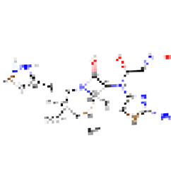 Nc1nc(N(C(=O)C=NO)C2C(=O)N3CC(C=Cc4csnn4)(C(=O)[O-])CS[C@H]23)cs1.[Na+]